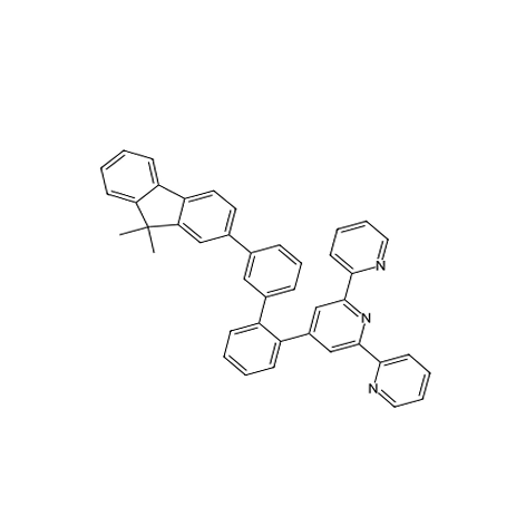 CC1(C)c2ccccc2-c2ccc(-c3cccc(-c4ccccc4-c4cc(-c5ccccn5)nc(-c5ccccn5)c4)c3)cc21